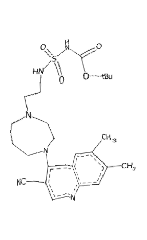 Cc1cc2ncc(C#N)c(N3CCCN(CCNS(=O)(=O)NC(=O)OC(C)(C)C)CC3)c2cc1C